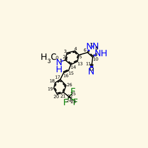 CNc1ccc(-c2nn[nH]c2C#N)cc1/C=C/c1cccc(C(F)(F)F)c1